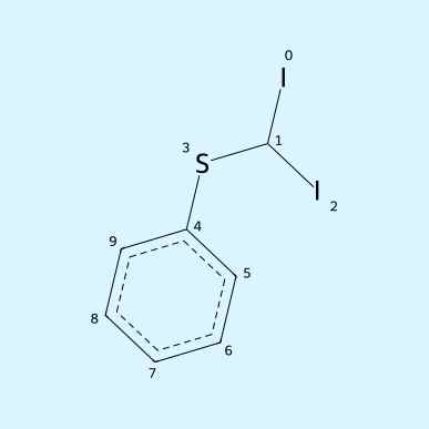 IC(I)Sc1ccccc1